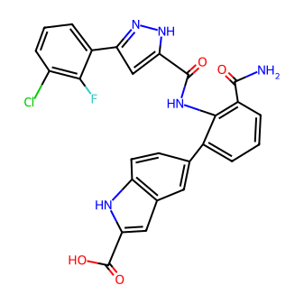 NC(=O)c1cccc(-c2ccc3[nH]c(C(=O)O)cc3c2)c1NC(=O)c1cc(-c2cccc(Cl)c2F)n[nH]1